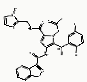 CC(=O)Cn1c(C(=O)NCc2nccn2C)nc(NC(=O)c2nsc3ccccc23)c1[C@H](C)c1cc(F)ccc1Cl